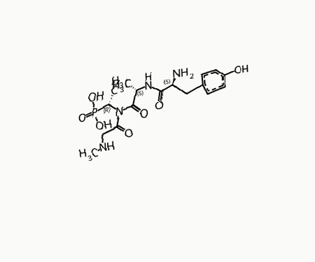 CNCC(=O)N(C(=O)[C@H](C)NC(=O)[C@@H](N)Cc1ccc(O)cc1)[C@@H](C)P(=O)(O)O